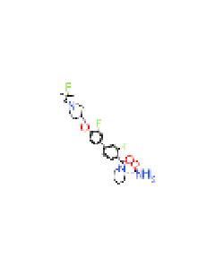 CC(C)(F)CN1CCC(COc2ccc(-c3ccc(C(=O)N4CCCC[C@H]4C(N)=O)c(F)c3)cc2F)CC1